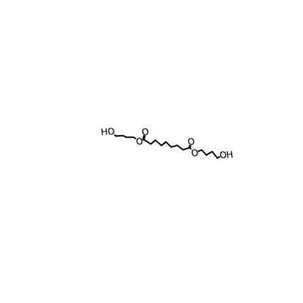 O=C(CCCCCCCC(=O)OCCCCO)OCCCCO